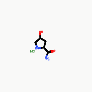 Cl.NC(=O)C1CC(O)CN1